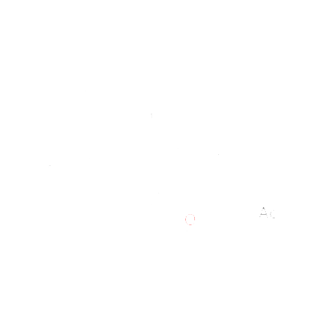 CC(=O)c1cc2cc(C)c(C)cc2o1